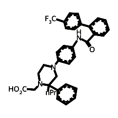 CCCC1(c2ccccc2)CN(c2ccc(NC(=O)c3ccccc3-c3ccc(C(F)(F)F)cc3)cc2)CCN1CC(=O)O